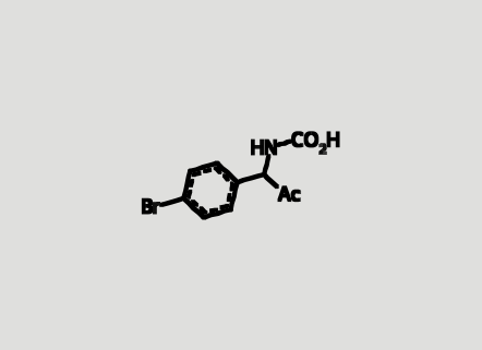 CC(=O)C(NC(=O)O)c1ccc(Br)cc1